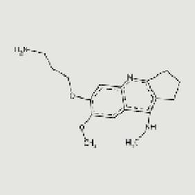 CNc1c2c(nc3cc(OCCCN)c(OC)cc13)CCC2